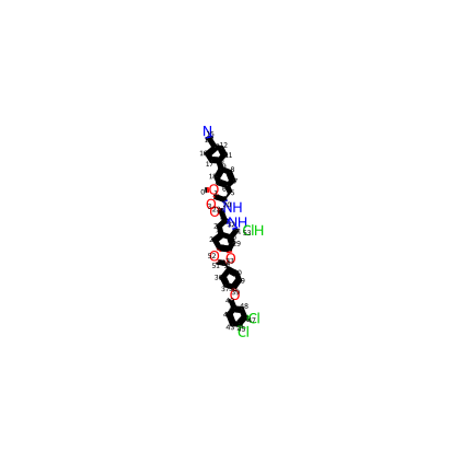 COC(=O)[C@@H](Cc1ccc(-c2ccc(C#N)cc2)cc1)NC(=O)C1Cc2cc3c(cc2CN1)O[C@@H](c1ccc(OCc2ccc(Cl)c(Cl)c2)cc1)CO3.Cl